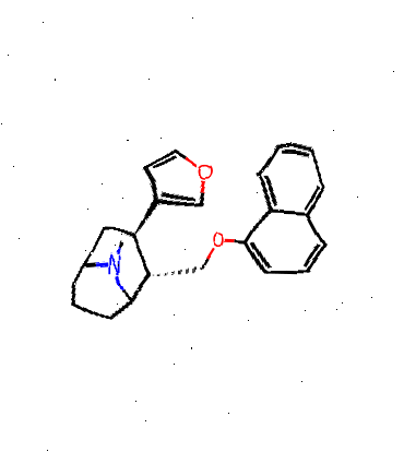 CN1C2CCC1[C@@H](COc1cccc3ccccc13)[C@H](c1ccoc1)C2